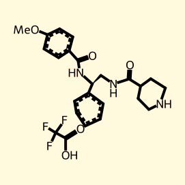 COc1ccc(C(=O)N[C@@H](CNC(=O)C2CCNCC2)c2ccccc2)cc1.O=C(O)C(F)(F)F